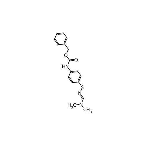 CN(C)C=NSc1ccc(NC(=O)OCc2ccccc2)cc1